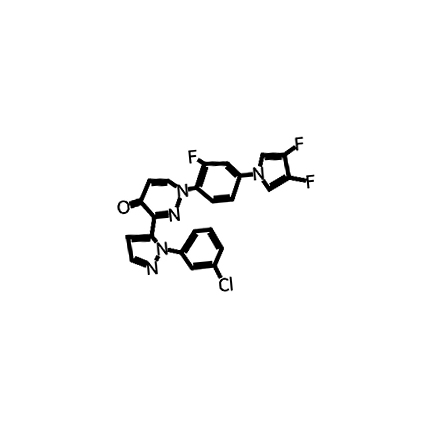 O=c1ccn(-c2ccc(-n3cc(F)c(F)c3)cc2F)nc1-c1ccnn1-c1cccc(Cl)c1